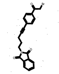 O=C(CBr)c1ccc(C#CCCCN2C(=O)c3ccccc3C2=O)cc1